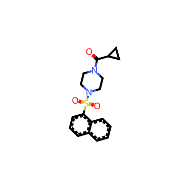 O=C(C1CC1)N1CCN(S(=O)(=O)c2cccc3ccccc23)CC1